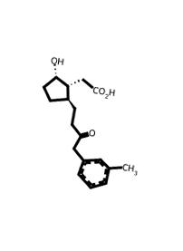 Cc1cccc(CC(=O)CC[C@H]2CC[C@H](O)[C@@H]2CC(=O)O)c1